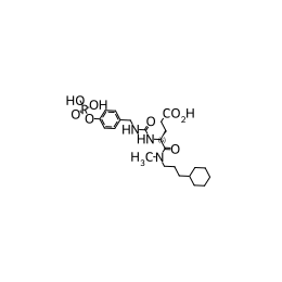 CN(CCCC1CCCCC1)C(=O)[C@H](CCC(=O)O)NC(=O)NCc1ccc(OP(=O)(O)O)cc1